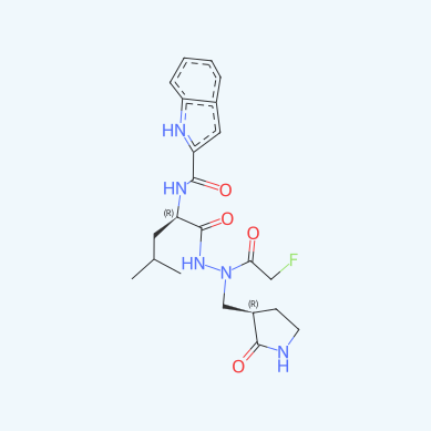 CC(C)C[C@@H](NC(=O)c1cc2ccccc2[nH]1)C(=O)NN(C[C@H]1CCNC1=O)C(=O)CF